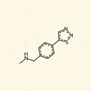 [CH2]NCc1ccc(-c2cnns2)cc1